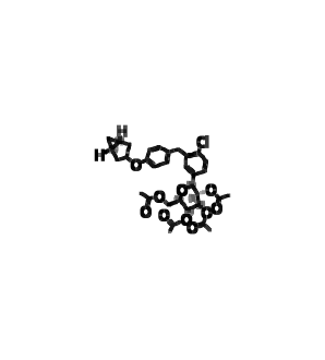 CC(=O)OC[C@H]1O[C@@H](c2ccc(Cl)c(Cc3ccc(OC4C[C@@H]5C[C@@H]5C4)cc3)c2)[C@H](OC(C)=O)[C@@H](OC(C)=O)[C@@H]1OC(C)=O